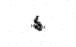 C1=c2nc(Nc3cc(CN4CCNCC4)ccn3)[nH]c2=CC(c2cc(OCC3CC3)ncn2)C1